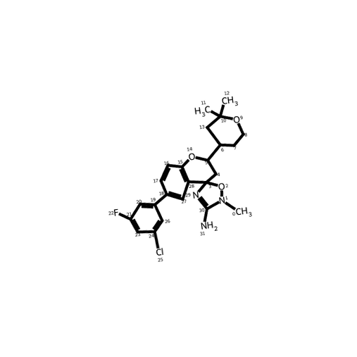 CN1OC2(CC(C3CCOC(C)(C)C3)Oc3ccc(-c4cc(F)cc(Cl)c4)cc32)N=C1N